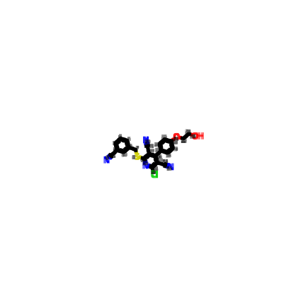 N#Cc1cccc(CSc2nc(Cl)c(C#N)c(-c3ccc(OCCO)cc3)c2C#N)c1